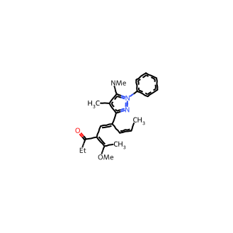 C\C=C/C(=C\C(C(=O)CC)=C(/C)OC)c1nn(-c2ccccc2)c(NC)c1C